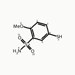 COc1ccc(S)cc1S(N)(=O)=O